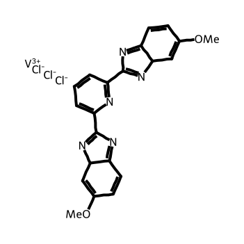 COC1=CC2N=C(c3cccc(C4=NC5C=C(OC)C=CC5=N4)n3)N=C2C=C1.[Cl-].[Cl-].[Cl-].[V+3]